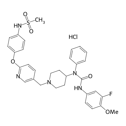 COc1ccc(NC(=O)N(c2ccccc2)C2CCN(Cc3ccc(Oc4ccc(NS(C)(=O)=O)cc4)nc3)CC2)cc1F.Cl